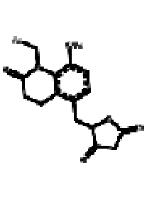 COc1ccc(CC2SC(=O)CC2=O)c2c1N(CC(C)=O)C(=O)CC2